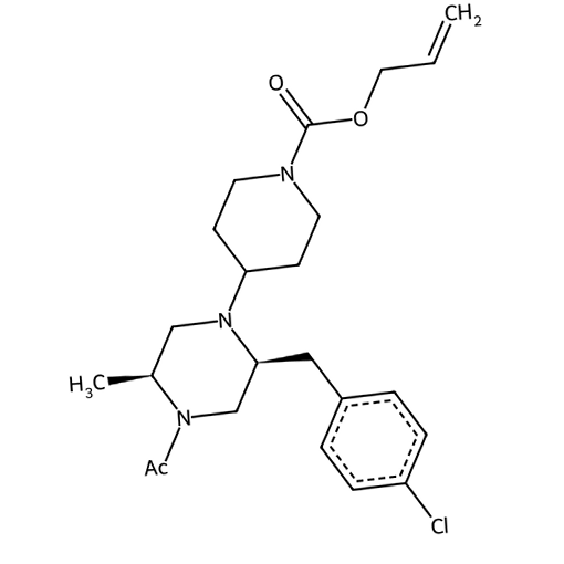 C=CCOC(=O)N1CCC(N2C[C@H](C)N(C(C)=O)C[C@@H]2Cc2ccc(Cl)cc2)CC1